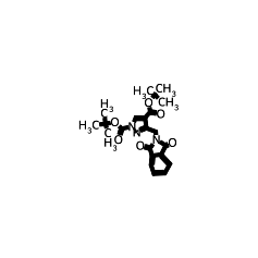 CC(C)(C)OC(=O)c1cn(C(=O)OC(C)(C)C)nc1CN1C(=O)c2ccccc2C1=O